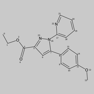 CCOC(=O)c1cc(-c2ccc(OC)cc2)n(-c2ccccn2)n1